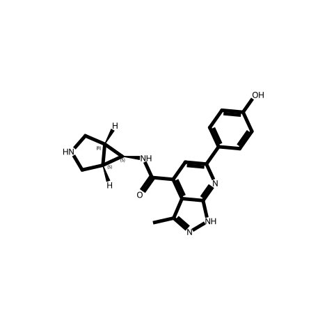 Cc1n[nH]c2nc(-c3ccc(O)cc3)cc(C(=O)N[C@H]3[C@@H]4CNC[C@@H]43)c12